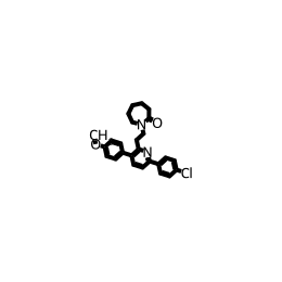 COc1ccc(-c2ccc(-c3ccc(Cl)cc3)nc2CCN2CCCCCC2=O)cc1